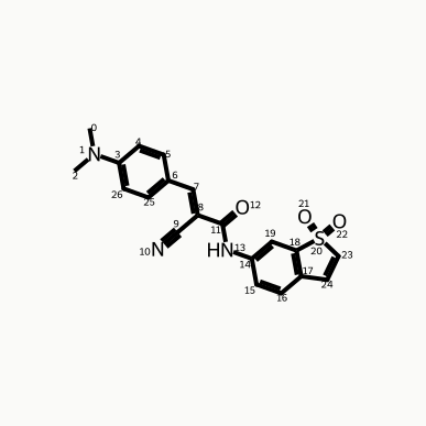 CN(C)c1ccc(C=C(C#N)C(=O)Nc2ccc3c(c2)S(=O)(=O)C=C3)cc1